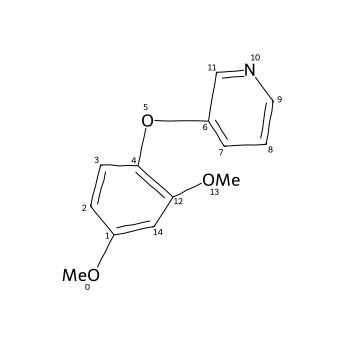 COc1ccc(Oc2cccnc2)c(OC)c1